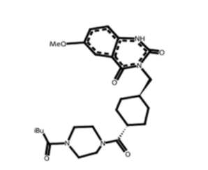 CCC(C)C(=O)N1CCN(C(=O)[C@H]2CC[C@H](Cn3c(=O)[nH]c4ccc(OC)cc4c3=O)CC2)CC1